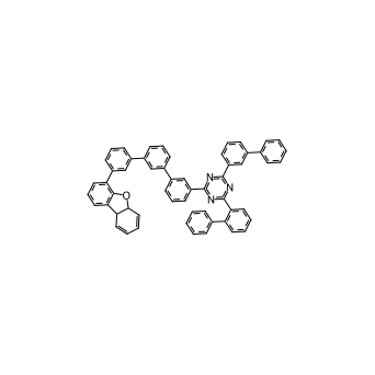 C1=CC2Oc3c(-c4cccc(-c5cccc(-c6cccc(-c7nc(-c8cccc(-c9ccccc9)c8)nc(-c8ccccc8-c8ccccc8)n7)c6)c5)c4)cccc3C2C=C1